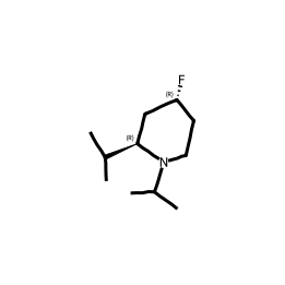 CC(C)[C@H]1C[C@H](F)CCN1C(C)C